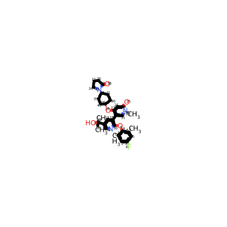 Cc1cc(F)cc(C)c1Oc1ncc(C(C)(C)O)cc1-c1cn(C)c(=O)cc1O[C@H]1CC[C@H](N2CCCC2=O)CC1